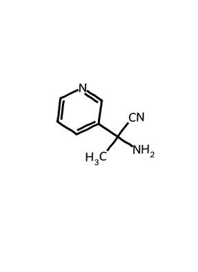 CC(N)(C#N)c1cccnc1